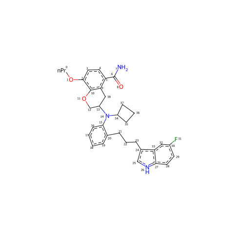 CCCOc1ccc(C(N)=O)c2c1OCC(N(c1ccccc1CCCc1c[nH]c3ccc(F)cc13)C1CCC1)C2